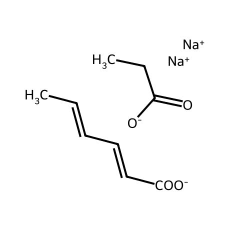 CC=CC=CC(=O)[O-].CCC(=O)[O-].[Na+].[Na+]